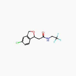 O=C(CC1OCc2cc(Cl)ccc21)NCC(F)(F)F